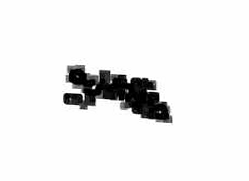 CC(=O)O[C@H](C[C@H](C(C)C)N(C)C(=O)C1(NC(=O)[C@H]2CCCCN2C)COC1)c1nc(C(=O)N[C@@H](CCc2ccccc2)C[C@H](C)C(=O)O)cs1